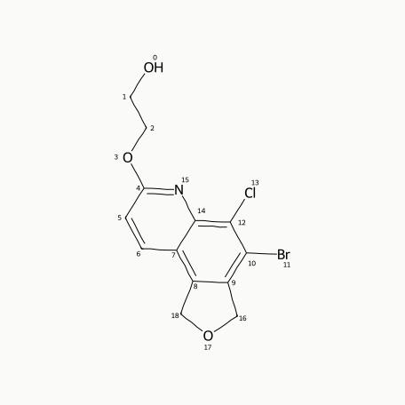 OCCOc1ccc2c3c(c(Br)c(Cl)c2n1)COC3